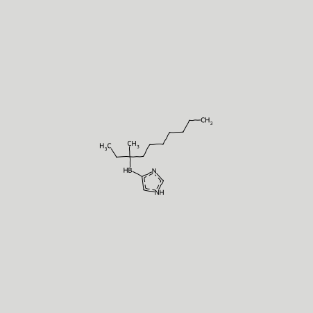 CCCCCCCC(C)(Bc1c[nH]cn1)CC